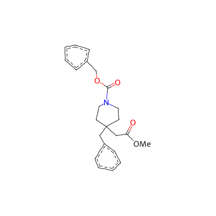 COC(=O)CC1(Cc2ccccc2)CCN(C(=O)OCc2ccccc2)CC1